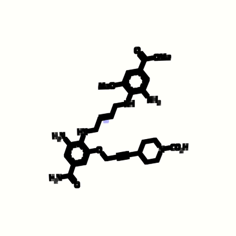 COC(=O)c1cc(N)c(NC/C=C/CNc2c(N)cc(C(N)=O)cc2OCC#CC2CCN(C(=O)O)CC2)c(OC)c1